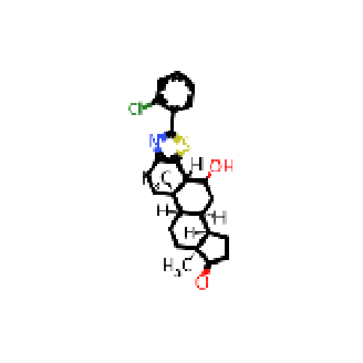 C[C@]12CCc3nc(-c4ccccc4Cl)sc3[C@@H]1[C@@H](O)C[C@@H]1[C@@H]2CC[C@]2(C)C(=O)CC[C@@H]12